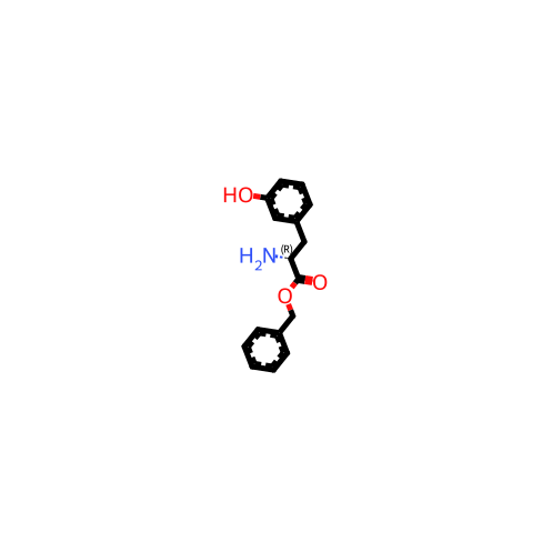 N[C@H](Cc1cccc(O)c1)C(=O)OCc1ccccc1